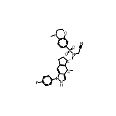 C[C@H]1C2=CNN(c3ccc(F)cc3)C2=CC2=C1[C@@H](CN(CC#N)S(=O)(=O)c1ccc3c(c1)OCCN3C)CC2